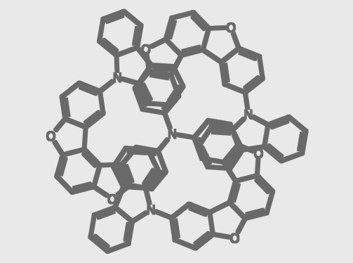 c1ccc2c(c1)c1ccccc1n2-c1ccc2oc3ccc4oc5ccc(N(c6ccc7oc8ccc9oc%10ccc(-n%11c%12ccccc%12c%12ccccc%12%11)cc%10c9c8c7c6)c6ccc7oc8ccc9oc%10ccc(-n%11c%12ccccc%12c%12ccccc%12%11)cc%10c9c8c7c6)cc5c4c3c2c1